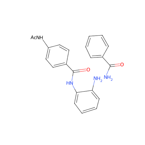 CC(=O)Nc1ccc(C(=O)Nc2ccccc2N)cc1.NC(=O)c1ccccc1